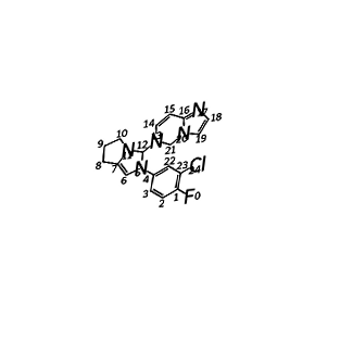 Fc1ccc(N2C=C3CCCN3C2N2C=Cc3nccn3C2)cc1Cl